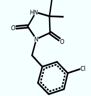 CC1(C)NC(=O)N(Cc2cccc(Cl)c2)C1=O